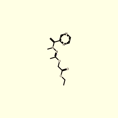 C=C(c1cnccn1)N(C)/N=C(\C)OCC(=O)OCC